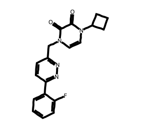 O=c1c(=O)n(C2CCC2)ccn1Cc1ccc(-c2ccccc2F)nn1